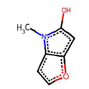 Cn1c(O)cc2occc21